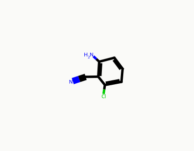 N#Cc1c(N)c[c]cc1Cl